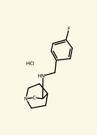 Cl.Fc1ccc(CNC2CN3CCC2CC3)cc1